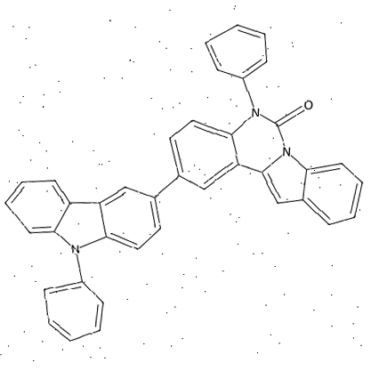 O=c1n(-c2ccccc2)c2ccc(-c3ccc4c(c3)c3ccccc3n4-c3ccccc3)cc2c2cc3ccccc3n12